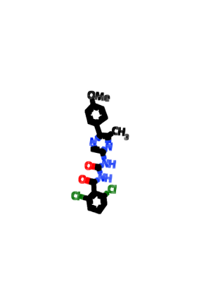 COc1ccc(-c2ncc(NC(=O)NC(=O)c3c(Cl)cccc3Cl)nc2C)cc1